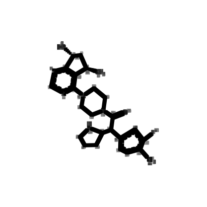 C[C@@H]1C[C@@H](O)c2ncnc(N3CCN(C(=O)C(c4ccc(C(F)(F)F)c(F)c4)C4CCCN4)CC3)c21